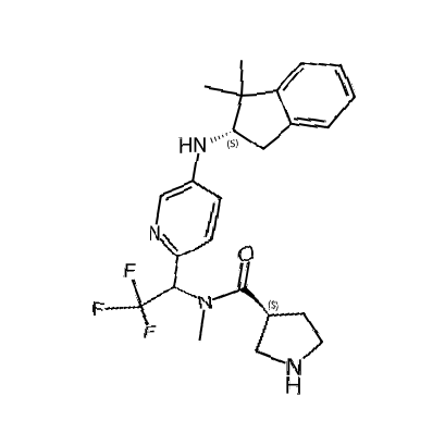 CN(C(=O)[C@H]1CCNC1)C(c1ccc(N[C@H]2Cc3ccccc3C2(C)C)cn1)C(F)(F)F